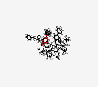 CN(C(=O)COC(=O)[C@H](CC1CC1)N(C)C(=O)[C@@H](Cc1ccc(C2CCOCC2)cc1)OC(=O)[C@H](CC(C)(C)F)N(C)C(=O)OC(C)(C)C)[C@@H](CC(C)(C)F)C(=O)O[C@H](Cc1ccc(C2CCOCC2)cc1)C(=O)N(C)[C@@H](CCC1CC1)C(=O)OCC(=O)OCc1ccccc1